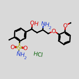 COc1ccccc1OCC(N)CC(O)c1ccc(C)c(S(N)(=O)=O)c1.Cl